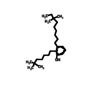 CCC(C)(C)CCCCCCc1cccc(O)c1CCCCCC(C)(C)C